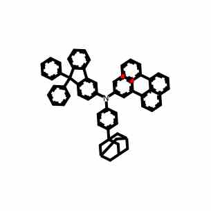 c1ccc(-c2cccc3cccc(-c4cccc(N(c5ccc(C67CC8CC(CC(C8)C6)C7)cc5)c5ccc6c(c5)-c5ccccc5C6(c5ccccc5)c5ccccc5)c4)c23)cc1